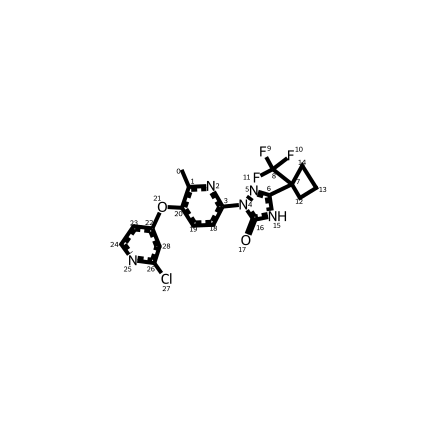 Cc1nc(-n2nc(C3(C(F)(F)F)CCC3)[nH]c2=O)ccc1Oc1ccnc(Cl)c1